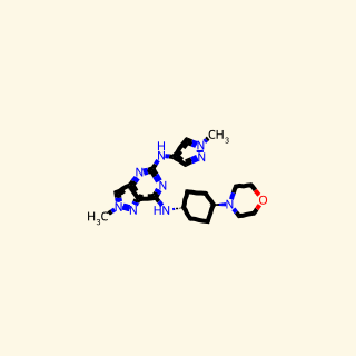 Cn1cc(Nc2nc(N[C@H]3CC[C@H](N4CCOCC4)CC3)c3nn(C)cc3n2)cn1